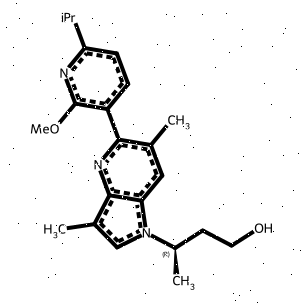 COc1nc(C(C)C)ccc1-c1nc2c(C)cn([C@H](C)CCO)c2cc1C